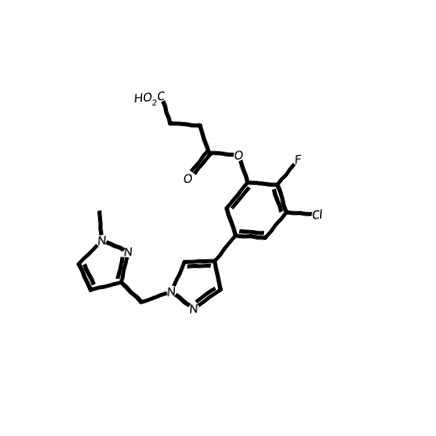 Cn1ccc(Cn2cc(-c3cc(Cl)c(F)c(OC(=O)CCC(=O)O)c3)cn2)n1